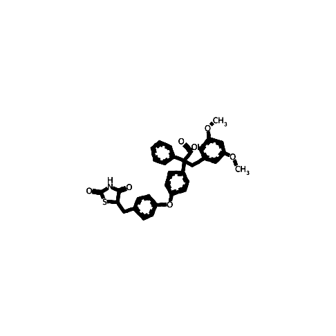 COc1cc(CC(C(=O)O)(c2ccccc2)c2ccc(Oc3ccc(CC4SC(=O)NC4=O)cc3)cc2)cc(OC)c1